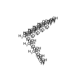 C[C@H](Cc1ccccn1)NC(=O)O.C[C@H](Cc1ccccn1)NC(=O)O.C[C@H](Cc1ccccn1)NC(=O)O.C[C@H](Cc1ccccn1)NC(=O)O.C[C@H](Cc1ccccn1)NC(=O)O.C[C@H](Cc1ccccn1)NC(=O)O.C[C@H](Cc1ccccn1)NC(=O)O.O=C(O)C(F)(F)F.O=C(O)C(F)(F)F.O=C(O)C(F)(F)F.O=C(O)C(F)(F)F